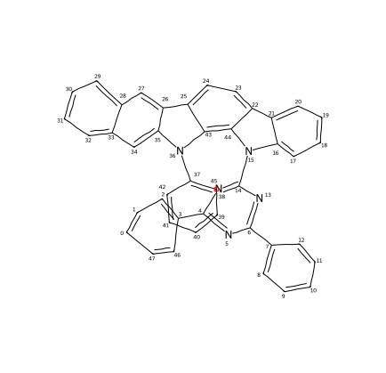 c1ccc(-c2nc(-c3ccccc3)nc(-n3c4ccccc4c4ccc5c6cc7ccccc7cc6n(-c6ccccc6)c5c43)n2)cc1